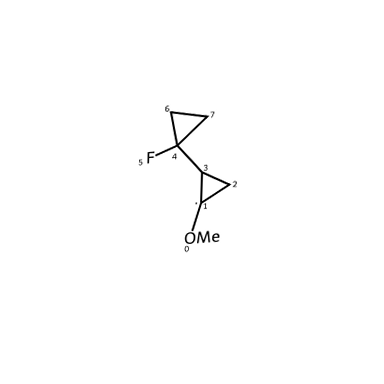 CO[C]1CC1C1(F)CC1